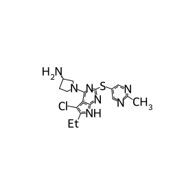 CCc1[nH]c2nc(Sc3cnc(C)nc3)nc(N3CC[C@@H](N)C3)c2c1Cl